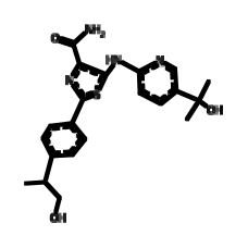 CC(CO)c1ccc(-c2nc(C(N)=O)c(Nc3ccc(C(C)(C)O)cn3)s2)cc1